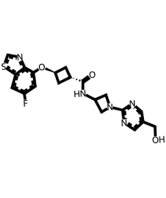 O=C(NC1CN(c2ncc(CO)cn2)C1)[C@H]1C[C@H](Oc2cc(F)cc3scnc23)C1